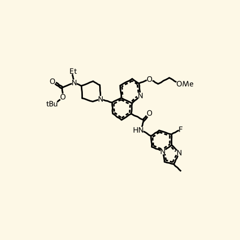 CCN(C(=O)OC(C)(C)C)C1CCN(c2ccc(C(=O)Nc3cc(F)c4nc(C)cn4c3)c3nc(OCCOC)ccc23)CC1